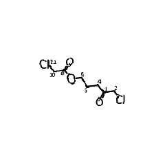 O=C(CCl)CCCOC(=O)CCl